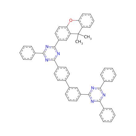 CC1(C)c2ccccc2Oc2ccc(-c3nc(-c4ccccc4)nc(-c4ccc(-c5cccc(-c6nc(-c7ccccc7)nc(-c7ccccc7)n6)c5)cc4)n3)cc21